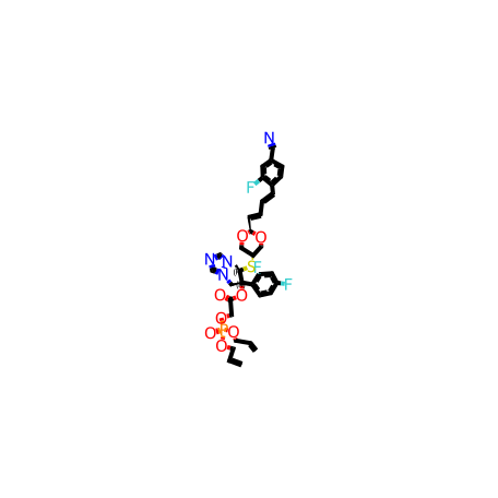 C=CCOP(=O)(OCC=C)OCC(=O)O[C@@](Cn1cncn1)(c1ccc(F)cc1F)[C@@H](C)S[C@H]1CO[C@H](C=CC=Cc2ccc(C#N)cc2F)OC1